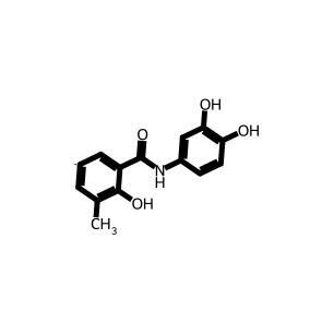 Cc1c[c]cc(C(=O)Nc2ccc(O)c(O)c2)c1O